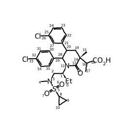 CC[C@@H](CN(C)S(=O)(=O)C1CC1)N1C(=O)[C@@](C)(C(C)C(=O)O)CC(c2cccc(Cl)c2)C1c1ccc(Cl)cc1